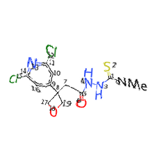 CNC(=S)NNC(=O)CC1(c2cc(Cl)nc(Cl)c2)COC1